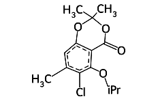 Cc1cc2c(c(OC(C)C)c1Cl)C(=O)OC(C)(C)O2